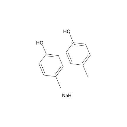 Cc1ccc(O)cc1.Cc1ccc(O)cc1.[NaH]